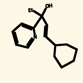 CCC(O)(C=CC1CCCCC1)c1ccccn1